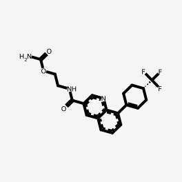 NC(=O)OCCNC(=O)c1cnc2c(C3=CC[C@@H](C(F)(F)F)CC3)cccc2c1